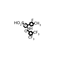 Cc1ccc(C2CN(C(=O)O)CCC2NC(=O)c2cc(C(F)(F)F)cc(C(F)(F)F)c2)cc1F